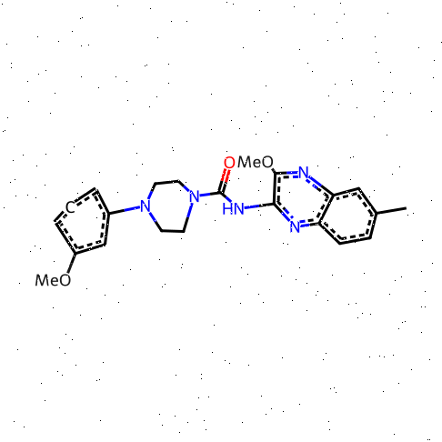 COc1cccc(N2CCN(C(=O)Nc3nc4ccc(C)cc4nc3OC)CC2)c1